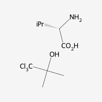 CC(C)(O)C(Cl)(Cl)Cl.CC(C)[C@H](N)C(=O)O